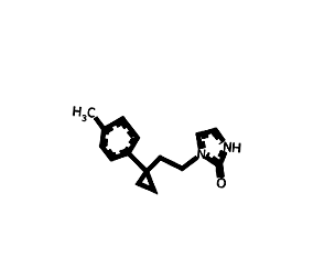 Cc1ccc(C2(CCn3cc[nH]c3=O)CC2)cc1